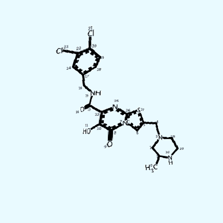 CC1CN(Cc2cn3c(=O)c(O)c(C(=O)NCc4ccc(Cl)c(Cl)c4)nc3s2)CCN1